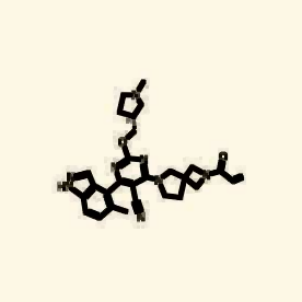 C=CC(=O)N1CC2(CCN(c3nc(OC[C@@H]4CCN(C)C4)nc(-c4c(C)ccc5[nH]ncc45)c3C#N)C2)C1